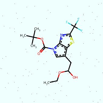 CCOC(O)Cc1cn(C(=O)OC(C)(C)C)c2nc(C(F)(F)F)sc12